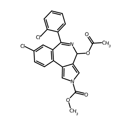 COC(=O)n1cc2c(c1)C(OC(C)=O)N=C(c1ccccc1Cl)c1cc(Cl)ccc1-2